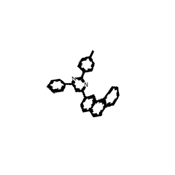 Cc1ccc(-c2nc(-c3ccccc3)cc(-c3ccc4ccc5ccccc5c4c3)n2)cc1